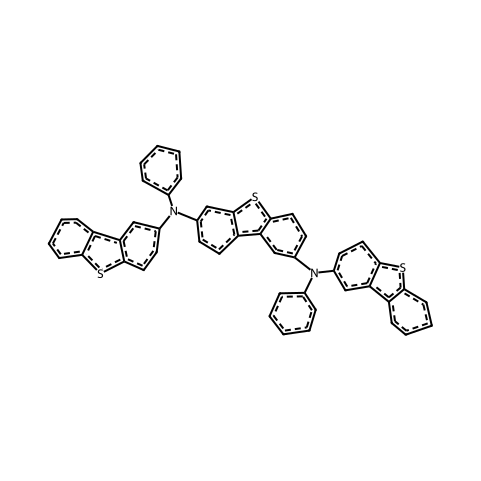 c1ccc(N(c2ccc3c(c2)sc2ccc(N(c4ccccc4)c4ccc5sc6ccccc6c5c4)cc23)c2ccc3sc4ccccc4c3c2)cc1